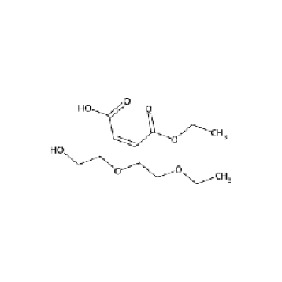 CCOC(=O)/C=C\C(=O)O.CCOCCOCCO